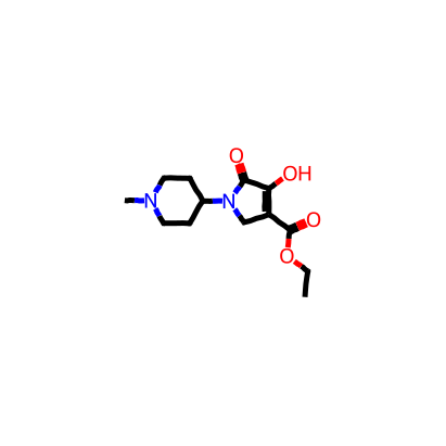 CCOC(=O)C1=C(O)C(=O)N(C2CCN(C)CC2)C1